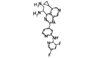 NCC(N)c1nc(-c2ccnc(Nc3ncc(F)cc3F)c2)nc2cncc(C3CC3)c12